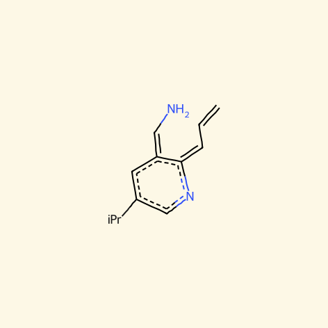 C=C/C=c1/ncc(C(C)C)c/c1=C/N